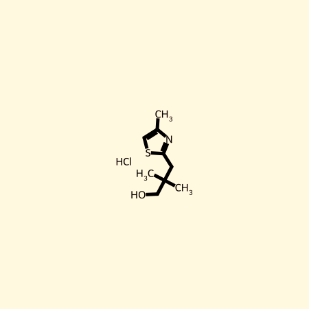 Cc1csc(CC(C)(C)CO)n1.Cl